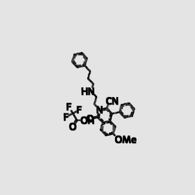 COc1ccc2c(=O)n(CCNCCCc3ccccc3)c(C#N)c(-c3ccccc3)c2c1.O=C(O)C(F)(F)F